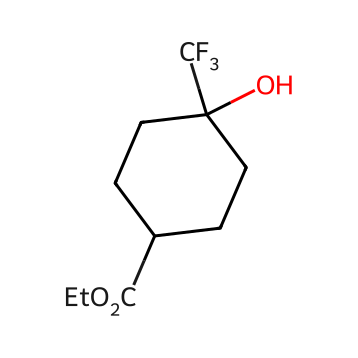 CCOC(=O)C1CCC(O)(C(F)(F)F)CC1